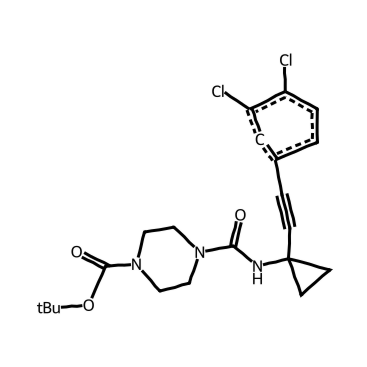 CC(C)(C)OC(=O)N1CCN(C(=O)NC2(C#Cc3ccc(Cl)c(Cl)c3)CC2)CC1